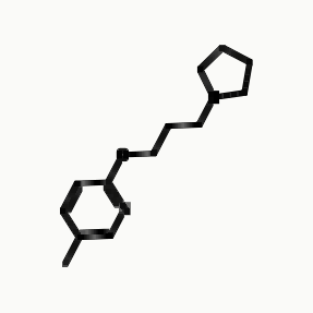 Cc1ccc(OCCCN2CCCC2)nc1